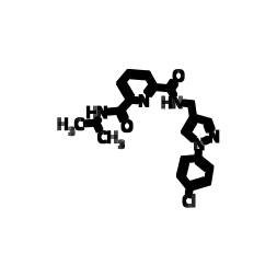 CC(C)NC(=O)c1cccc(C(=O)NCc2cnn(-c3ccc(Cl)cc3)c2)n1